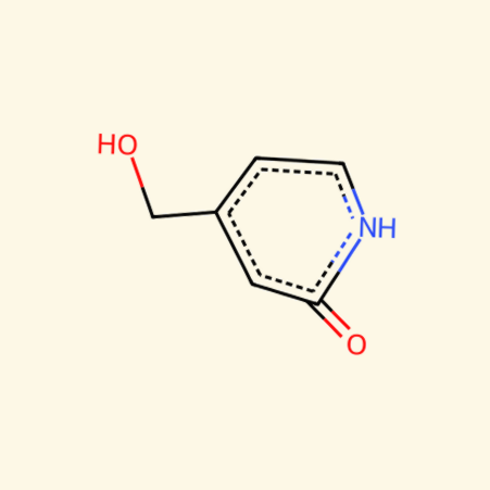 O=c1cc(CO)cc[nH]1